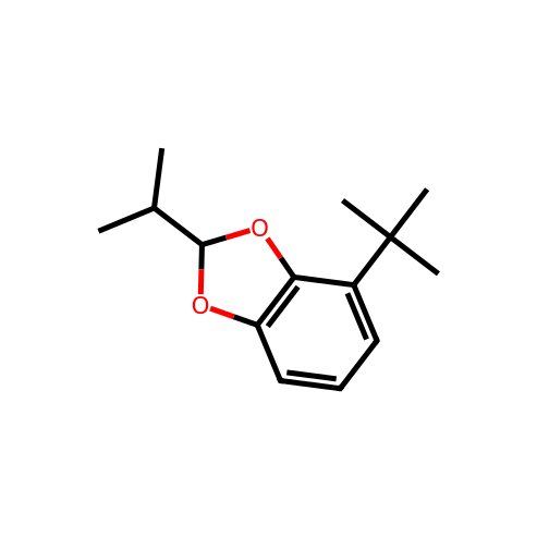 CC(C)C1Oc2cccc(C(C)(C)C)c2O1